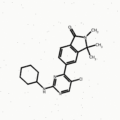 CN1C(=O)c2ccc(-c3nc(NC4CCCCC4)ncc3Cl)cc2C1(C)C